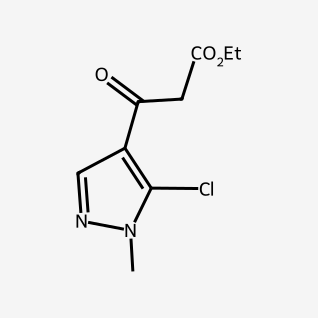 CCOC(=O)CC(=O)c1cnn(C)c1Cl